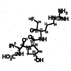 CC(C)C(NC(=O)O)C(=O)N1C[C@H](O)C[C@H]1C(=O)NC(CCCNC(=N)N)C(=O)CF